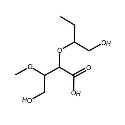 CCC(CO)OC(C(=O)O)C(CO)OC